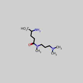 CN(C)CCCN(C)C(=O)CCC(N)C(=O)O